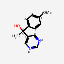 COc1ccc([C@@](C)(O)c2cncnc2)cc1